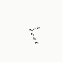 [Co].[Fe].[Mn].[Ni].[Pd].[Zn]